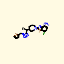 CCC(c1nnnn1Cc1cccs1)C1CCCN(c2nc3c(N)ccc(F)c3s2)CC1